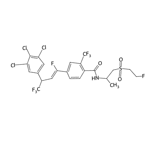 CC(CS(=O)(=O)CCF)NC(=O)c1ccc(/C(F)=C/C(c2cc(Cl)c(Cl)c(Cl)c2)C(F)(F)F)cc1C(F)(F)F